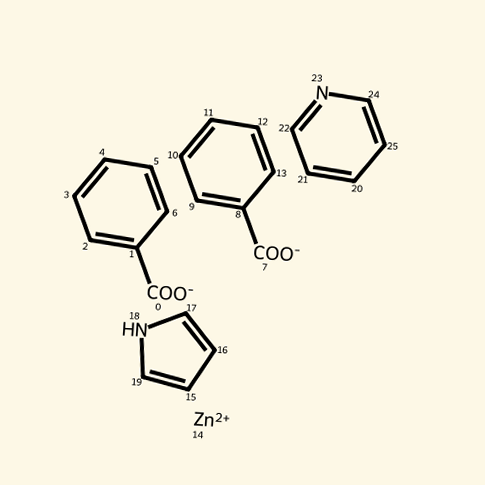 O=C([O-])c1ccccc1.O=C([O-])c1ccccc1.[Zn+2].c1cc[nH]c1.c1ccncc1